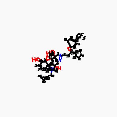 OC1=C2O[C@H]3[C@](O)(CNCCC(Oc4ccc(C(F)(F)F)cc4)c4ccccc4)CC[C@@]4(O)[C@H]5CC(C=C1)C2[C@@]34CCN5CC1CC1